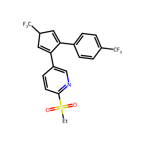 CCS(=O)(=O)c1ccc(C2=CC(C(F)(F)F)C=C2c2ccc(C(F)(F)F)cc2)cn1